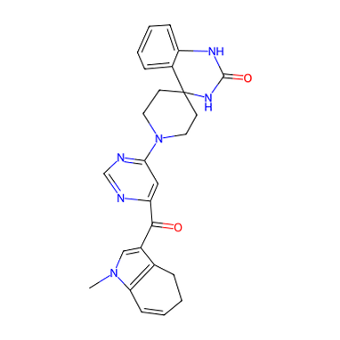 Cn1cc(C(=O)c2cc(N3CCC4(CC3)NC(=O)Nc3ccccc34)ncn2)c2c1C=CCC2